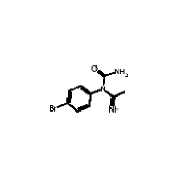 CC(=N)N(C(N)=O)c1ccc(Br)cc1